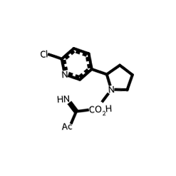 CC(=O)C(=N)C(=O)O.CN1CCCC1c1ccc(Cl)nc1